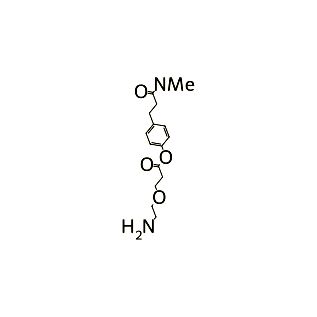 CNC(=O)CCc1ccc(OC(=O)CCOCCN)cc1